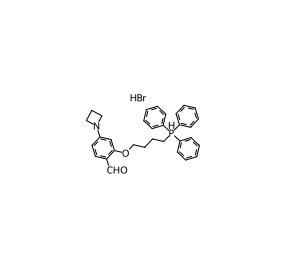 Br.O=Cc1ccc(N2CCC2)cc1OCCCC[PH](c1ccccc1)(c1ccccc1)c1ccccc1